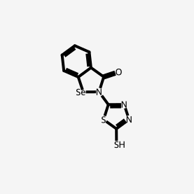 O=c1c2ccccc2[se]n1-c1nnc(S)s1